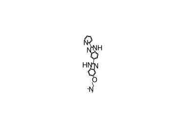 CN(C)CCOc1ccc2[nH]c(-c3ccc4[nH]c(-c5ccccn5)nc4c3)nc2c1